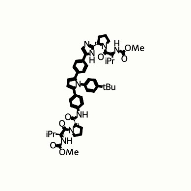 COC(=O)N[C@H](C(=O)N1CCC[C@H]1C(=O)Nc1ccc(-c2ccc(-c3ccc(-c4cnc([C@@H]5CCCN5C(=O)[C@@H](NC(=O)OC)C(C)C)[nH]4)cc3)n2-c2ccc(C(C)(C)C)cc2)cc1)C(C)C